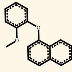 COc1ccccc1Oc1cccc2ccccc12